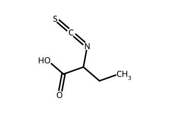 CCC(N=C=S)C(=O)O